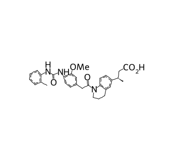 COc1cc(CC(=O)N2CCCc3cc([C@H](C)CC(=O)O)ccc32)ccc1NC(=O)Nc1ccccc1C